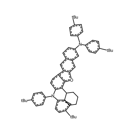 CC(C)(C)c1ccc(N(c2ccc(C(C)(C)C)cc2)c2ccc3cc4c(cc3c2)oc2c(C3CCCCC3)c(N(c3ccc(C(C)(C)C)cc3)c3ccc(C(C)(C)C)cc3)ccc24)cc1